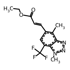 CCOC(=O)/C=C/c1cc(C(F)(F)F)c2c(nnn2C)c1C